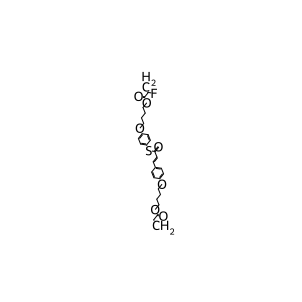 C=CC(=O)OCCCCOc1ccc(/C=C/C(=O)Sc2ccc(OCCCCOC(=O)C(=C)F)cc2)cc1